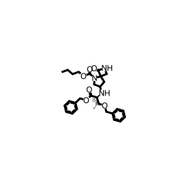 CCCCOC(=O)N1CC(N[C@H](C(=O)OCc2ccccc2)[C@@H](C)OCc2ccccc2)CC12CNC2=O